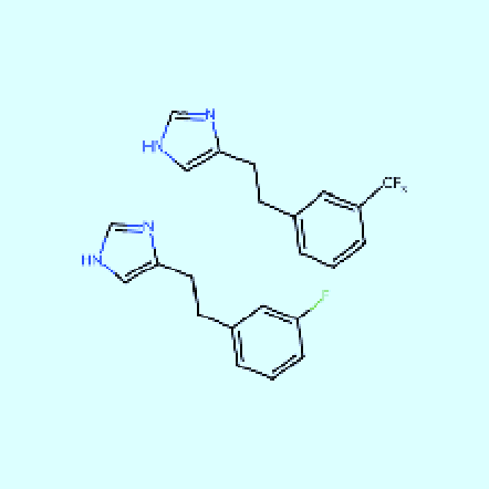 FC(F)(F)c1cccc(CCc2c[nH]cn2)c1.Fc1cccc(CCc2c[nH]cn2)c1